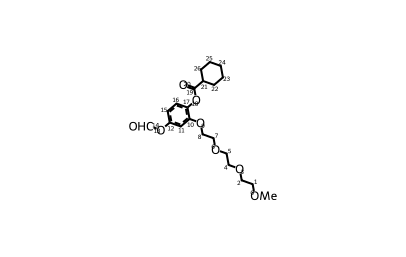 COCCOCCOCCOc1cc(OC=O)ccc1OC(=O)C1CCCCC1